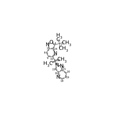 CC(C)(C)c1onc2ccc(C(C)(C)n3cc4ncccc4n3)nc12